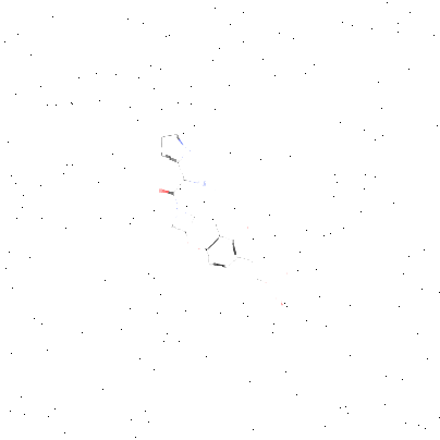 NC(C(=O)N1CC(Oc2ccc(CCB(O)O)c(O)c2C(=O)O)C1)C1=CCC=N1